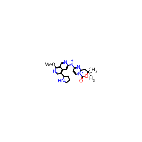 COc1ncc(C2CCCN2)c2cc(Nc3cc[n+]4c(n3)CC(C)(C)OC4=O)ncc12